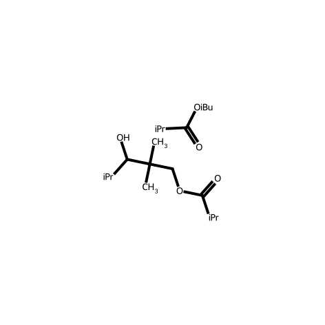 CC(C)C(=O)OCC(C)(C)C(O)C(C)C.CC(C)COC(=O)C(C)C